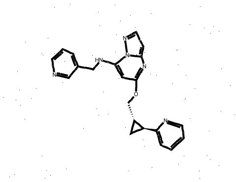 c1ccc([C@H]2C[C@@H]2COc2cc(NCc3cccnc3)n3nccc3n2)nc1